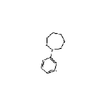 [c]1cccc(C2[CH]CCCCC2)c1